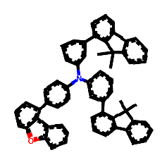 CC1(C)c2ccccc2-c2cccc(-c3cccc(N(c4ccc(-c5cccc6oc7ccccc7c56)cc4)c4cccc(-c5cccc6c5C(C)(C)c5ccccc5-6)c4)c3)c21